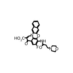 O=C(CCN1CCOCC1)Nc1c(F)cc2c(=O)c(C(=O)O)cn3c2c1Oc1cc2ccccc2cc1-3